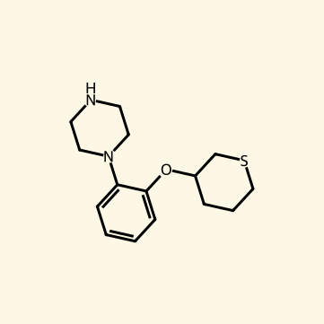 c1ccc(N2CCNCC2)c(OC2CCCSC2)c1